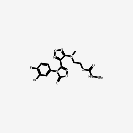 CN(CCOC(=O)NC(C)(C)C)c1nonc1-c1noc(=O)n1-c1ccc(F)c(Br)c1